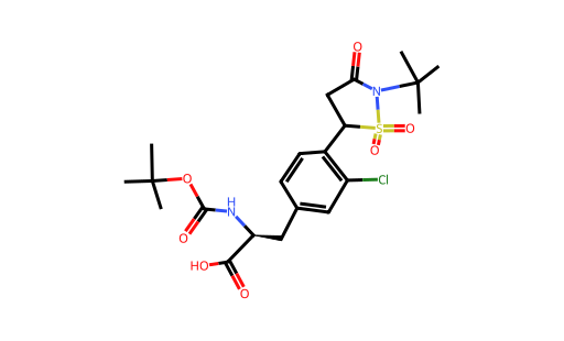 CC(C)(C)OC(=O)N[C@@H](Cc1ccc(C2CC(=O)N(C(C)(C)C)S2(=O)=O)c(Cl)c1)C(=O)O